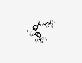 CC1C2CC(C(=O)OCCCC(O)(C(F)(F)F)C(F)(F)F)C(C2)C1[C@H]1C2CC(C1C)C(C(C)(C)O)C2